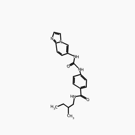 CCC(C)CNC(=O)c1ccc(NC(=O)Nc2ccc3nccn3c2)cc1